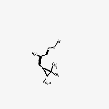 CCON=CC(C)=C[C@@H]1[C@@H](C(=O)O)C1(C)C